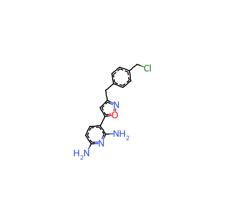 Nc1ccc(-c2cc(Cc3ccc(CCl)cc3)no2)c(N)n1